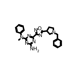 CN(c1ccccc1)c1nc(N)nc(-c2noc(C3CCN(Cc4ccccc4)C3)n2)n1